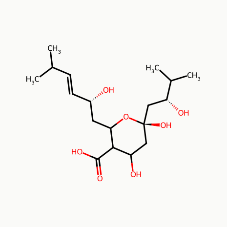 CC(C)/C=C/[C@H](O)CC1O[C@](O)(C[C@@H](O)C(C)C)CC(O)C1C(=O)O